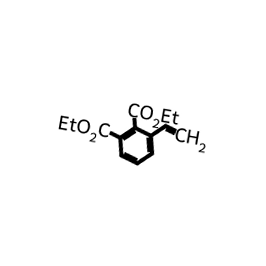 C=Cc1cccc(C(=O)OCC)c1C(=O)OCC